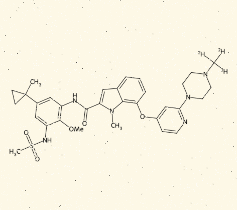 [2H]C([2H])([2H])N1CCN(c2cc(Oc3cccc4cc(C(=O)Nc5cc(C6(C)CC6)cc(NS(C)(=O)=O)c5OC)n(C)c34)ccn2)CC1